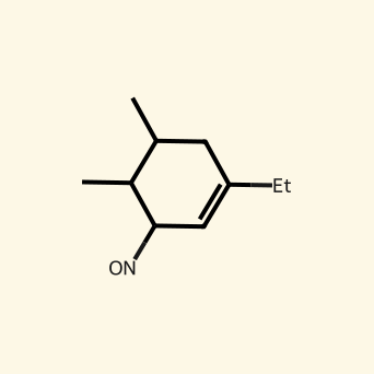 CCC1=CC(N=O)C(C)C(C)C1